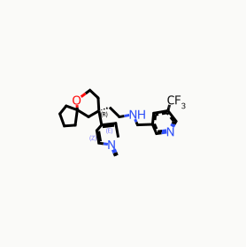 C=N/C=C\C(=C/C)[C@]1(CCNCc2cncc(C(F)(F)F)c2)CCOC2(CCCC2)C1